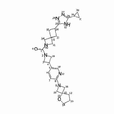 O=C(N1CC(c2ccc(N3CC4(CCCO4)C3)nc2)C1)N1CC2(CC(c3nnc(C4CC4)[nH]3)C2)C1